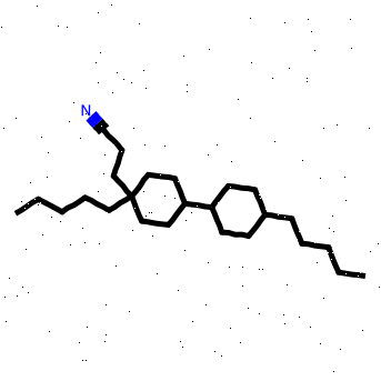 CCCCCC1CCC(C2CCC(CCC#N)(CCCCC)CC2)CC1